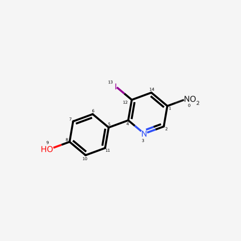 O=[N+]([O-])c1cnc(-c2ccc(O)cc2)c(I)c1